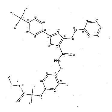 CCOC(=O)C(C)(C)Oc1ccc(CNC(=O)c2sc(-c3ccc(C(F)(F)F)cc3)nc2COc2ccccc2)c(C)c1